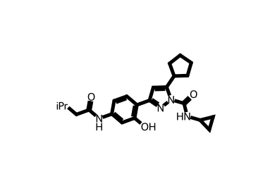 CC(C)CC(=O)Nc1ccc(-c2cc(C3CCCC3)n(C(=O)NC3CC3)n2)c(O)c1